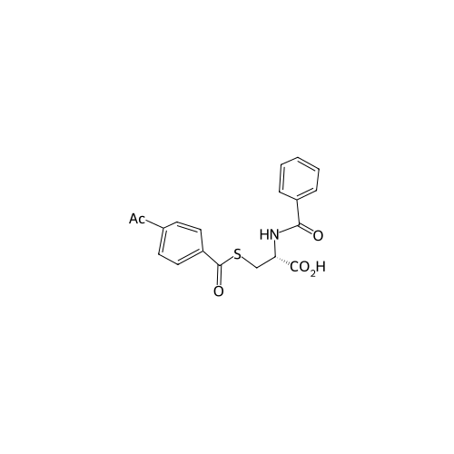 CC(=O)c1ccc(C(=O)SC[C@H](NC(=O)c2ccccc2)C(=O)O)cc1